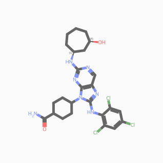 NC(=O)C1CCC(n2c(Nc3c(Cl)cc(Cl)cc3Cl)nc3cnc(N[C@H]4CCCC[C@@H](O)C4)nc32)CC1